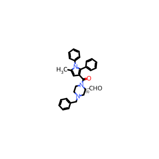 Cc1cc(C(=O)N2CCN(Cc3ccccc3)C[C@H]2C=O)c(-c2ccccc2)n1-c1ccccc1